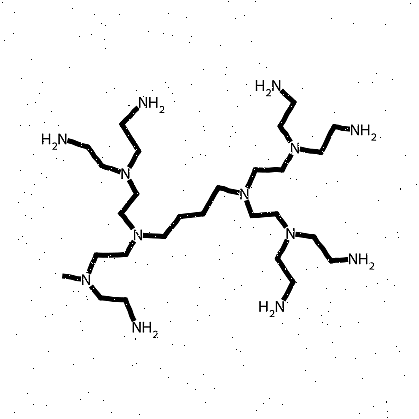 CN(CCN)CCN(CCCCN(CCN(CCN)CCN)CCN(CCN)CCN)CCN(CCN)CCN